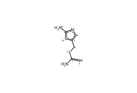 N=C(N)SCc1cnc(N)s1